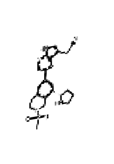 CS(=O)(=O)N1CCc2cc(-c3cnc4[nH]cc(CC#N)c4c3)cc([C@@H]3CCCN3)c2C1